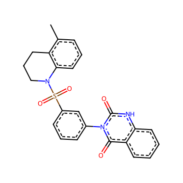 Cc1cccc2c1CCCN2S(=O)(=O)c1cccc(-n2c(=O)[nH]c3ccccc3c2=O)c1